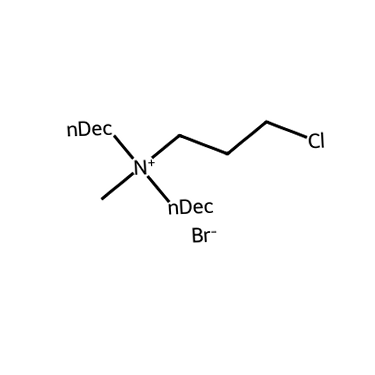 CCCCCCCCCC[N+](C)(CCCCl)CCCCCCCCCC.[Br-]